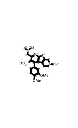 CCCN1CCc2c(sc3nc(CN(CC)CC)c(C(=O)OCC)c(-c4ccc(OC)c(OC)c4)c23)C1